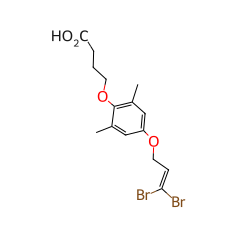 Cc1cc(OCC=C(Br)Br)cc(C)c1OCCCC(=O)O